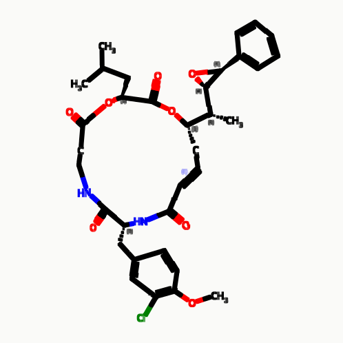 COc1ccc(C[C@H]2NC(=O)/C=C/C[C@@H]([C@@H](C)[C@H]3O[C@H]3c3ccccc3)OC(=O)[C@H](CC(C)C)OC(=O)CCNC2=O)cc1Cl